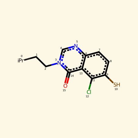 CC(C)CCn1cnc2ccc(S)c(Cl)c2c1=O